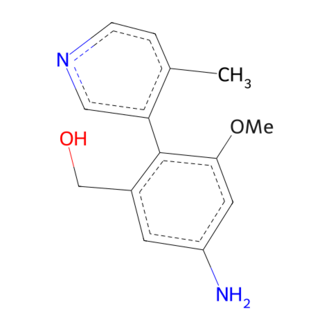 COc1cc(N)cc(CO)c1-c1cnccc1C